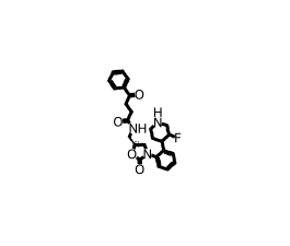 O=C(CCC(=O)c1ccccc1)NC[C@H]1CN(c2ccccc2C2CCNCC2F)C(=O)O1